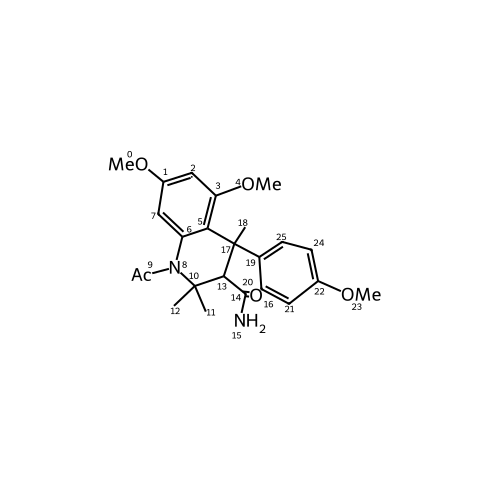 COc1[c]c(OC)c2c(c1)N(C(C)=O)C(C)(C)C(C(N)=O)C2(C)c1ccc(OC)cc1